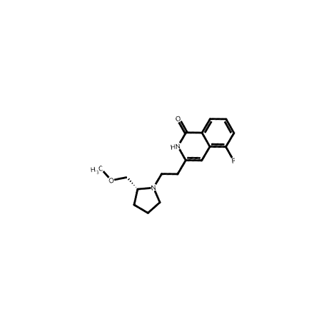 COC[C@H]1CCCN1CCc1cc2c(F)cccc2c(=O)[nH]1